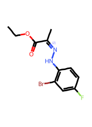 CCOC(=O)/C(C)=N\Nc1ccc(F)cc1Br